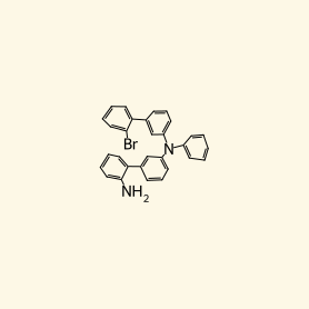 Nc1ccccc1-c1cccc(N(c2ccccc2)c2cccc(-c3ccccc3Br)c2)c1